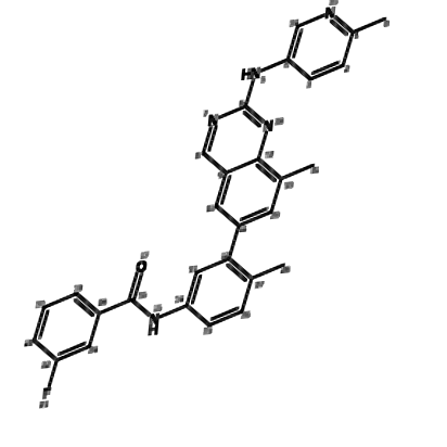 Cc1ccc(Nc2ncc3cc(-c4cc(NC(=O)c5cccc(F)c5)ccc4C)cc(C)c3n2)cn1